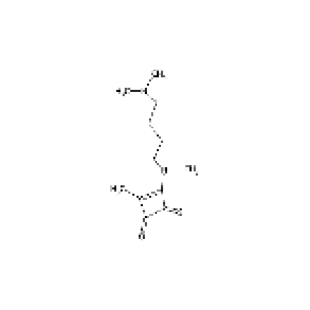 Cc1c(N(C)CCCCN(C)C)c(=S)c1=O